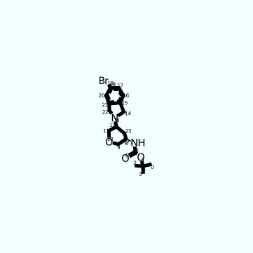 CC(C)(C)OC(=O)N[C@@H]1COCC(N2Cc3ccc(Br)cc3C2)C1